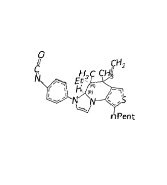 C=CC1(C)c2csc(CCCCC)c2N2C=CN(c3ccc(N=C=O)cc3)[C@H]2[C@]1(C)CC